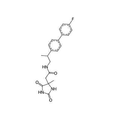 CC(CNC(=O)CC1(C)NC(=O)NC1=O)c1ccc(-c2ccc(F)cc2)cc1